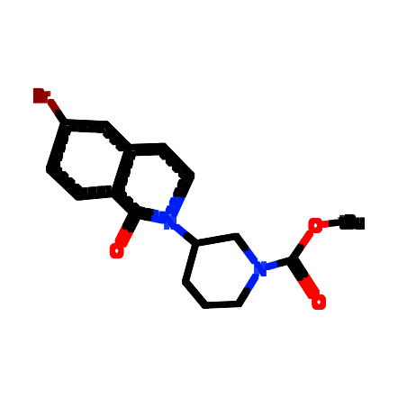 CC(C)(C)OC(=O)N1CCCC(n2ccc3cc(Br)ccc3c2=O)C1